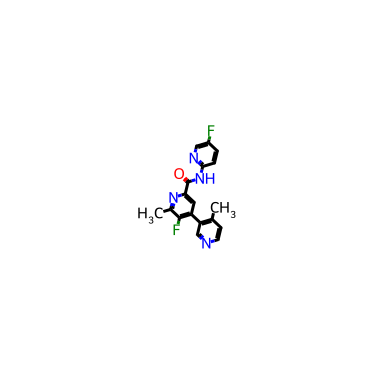 Cc1ccncc1-c1cc(C(=O)Nc2ccc(F)cn2)nc(C)c1F